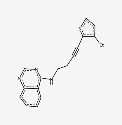 CCc1ccsc1C#CCCNc1ncnc2ccccc12